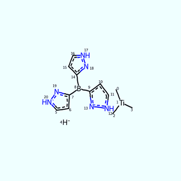 [CH3][Ti]([CH3])[CH3].[H-].c1cc(B(c2cc[nH]n2)c2cc[nH]n2)n[nH]1